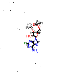 CC(C)[Si]1(C(C)C)OC[C@H]2O[C@@H](n3cnc4c(N)nc(F)nc43)[C@H](O)[C@@H]2O[Si](C(C)C)(C(C)C)O1